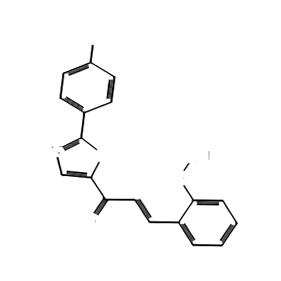 COc1ccccc1C=CC(=O)c1[c]nc(-c2ccc(Cl)cc2)s1